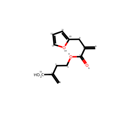 C=C(CCOC(=O)C(=C)Cc1ccco1)C(=O)O